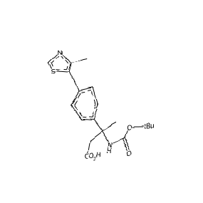 Cc1ncsc1-c1ccc(C(C)(CC(=O)O)NC(=O)OC(C)(C)C)cc1